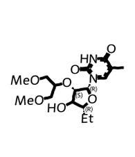 CC[C@H]1O[C@@H](n2cc(C)c(=O)[nH]c2=O)[C@@H](OC(COC)COC)C1O